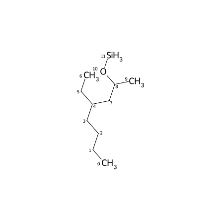 CCCCC(CC)CC(C)O[SiH3]